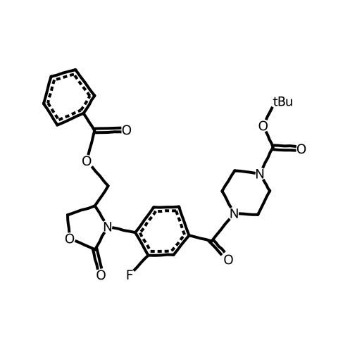 CC(C)(C)OC(=O)N1CCN(C(=O)c2ccc(N3C(=O)OCC3COC(=O)c3ccccc3)c(F)c2)CC1